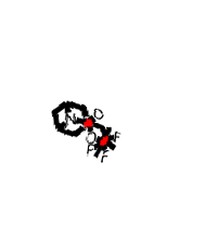 CC(C)(C)OC(=O)N1C2CC1CN(CC(F)(F)F)C2